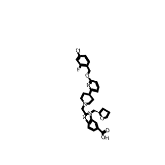 O=C(O)c1ccc2nc(CN3CCC(c4cccc(OCc5ccc(Cl)cc5F)n4)CC3)n(C[C@H]3CCCO3)c2c1